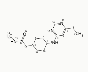 CCc1cc(NC2CCN(CC(=O)NC)CC2)ncn1